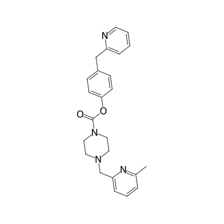 Cc1cccc(CN2CCN(C(=O)Oc3ccc(Cc4ccccn4)cc3)CC2)n1